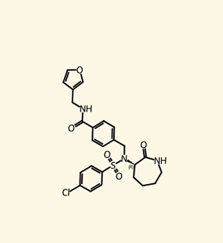 O=C(NCc1ccoc1)c1ccc(CN([C@@H]2CCCCNC2=O)S(=O)(=O)c2ccc(Cl)cc2)cc1